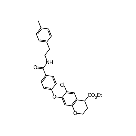 CCOC(=O)C1CCOc2cc(Oc3ccc(C(=O)NCCc4ccc(C)cc4)cc3)c(Cl)cc21